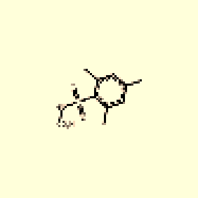 Cc1cc(C)c(S(=O)(=O)NC(=O)O)c(C)c1